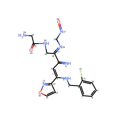 N=C(/C=C(\NCc1ccccc1F)c1ccon1)/C(CNC(=O)CN)=N/CN=O